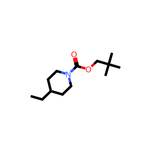 CCC1CCN(C(=O)OCC(C)(C)C)CC1